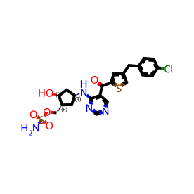 NS(=O)(=O)OC[C@H]1C[C@@H](Nc2ncncc2C(=O)c2cc(Cc3ccc(Cl)cc3)cs2)C[C@@H]1O